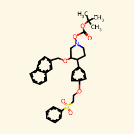 CC(C)(C)OC(=O)ON1CCC(c2ccc(OCCS(=O)(=O)c3ccccc3)cc2)C(OCc2ccc3ccccc3c2)C1